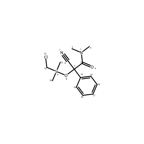 CN(C)C(=O)C(C#N)(O[Si](C)(C)CCl)c1ccccc1